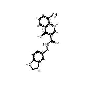 O=C(NCc1ccc2c(c1)OCO2)c1cnc2c(O)cccn2c1=O